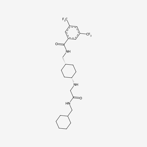 O=C(CN[C@H]1CC[C@@H](CNC(=O)c2cc(C(F)(F)F)cc(C(F)(F)F)c2)CC1)NCC1CCCCC1